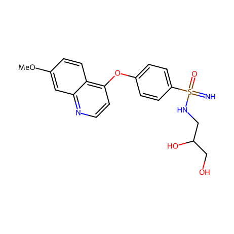 COc1ccc2c(Oc3ccc(S(=N)(=O)NCC(O)CO)cc3)ccnc2c1